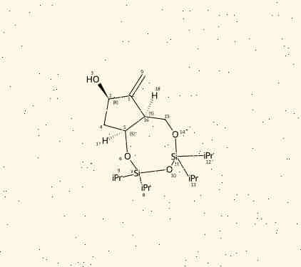 C=C1[C@H](O)C[C@@H]2O[Si](C(C)C)(C(C)C)O[Si](C(C)C)(C(C)C)OC[C@H]12